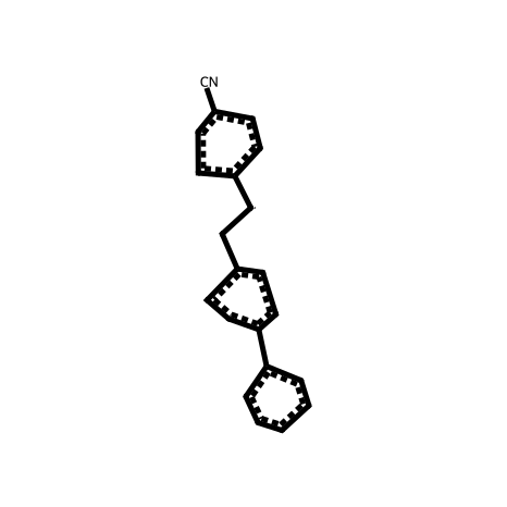 N#Cc1ccc([CH]Cc2ccc(-c3ccccc3)cc2)cc1